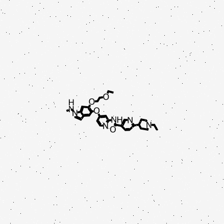 CCOCCOc1cc2c(ccn2NC)cc1Oc1ccnc(NC(=O)c2ccc(C3CCN(CC)CC3)nc2)c1